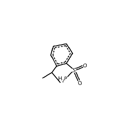 CC(C)c1ccccc1S(=O)(=O)P